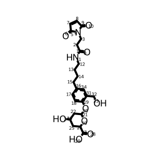 O=C(CCN1C(=O)C=CC1=O)NCCCCc1ccc(OC2CC(O)CC(C(=O)O)O2)c(CO)c1